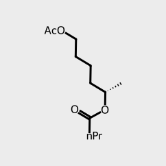 CCCC(=O)O[C@@H](C)CCCCOC(C)=O